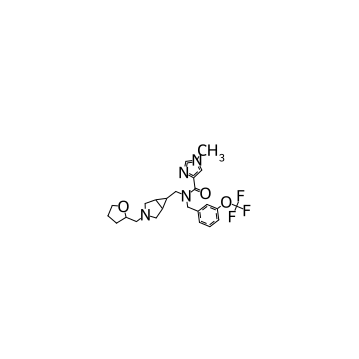 Cn1cnc(C(=O)N(Cc2cccc(OC(F)(F)F)c2)CC2C3CN(CC4CCCO4)CC32)c1